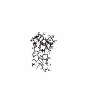 CC1(c2ccccc2)c2ccccc2-c2ccc(N(c3ccccc3-c3cccc4cccc(-c5ccccc5)c34)c3cccc4c5ccccc5n(-c5ccccc5)c34)cc21